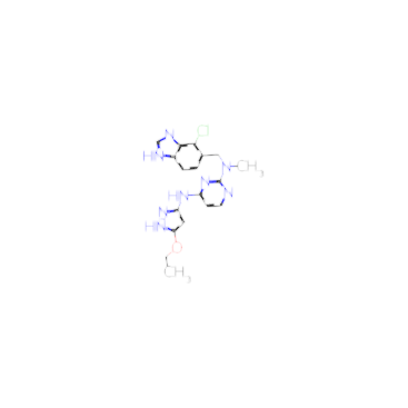 CCOc1cc(Nc2ccnc(N(C)Cc3ccc4[nH]cnc4c3Cl)n2)n[nH]1